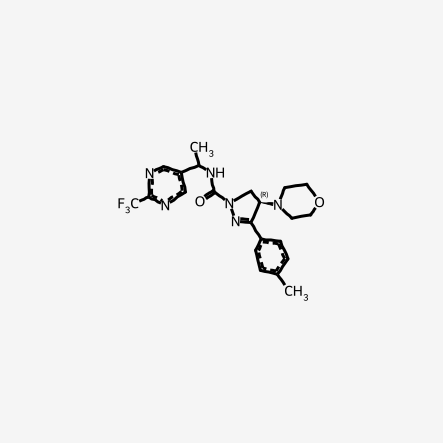 Cc1ccc(C2=NN(C(=O)NC(C)c3cnc(C(F)(F)F)nc3)C[C@H]2N2CCOCC2)cc1